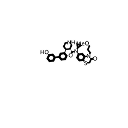 COCCCN1C(=O)CSc2ccc(N(C(=O)[C@H]3CNCC[C@@H]3c3cccc(-c4cccc(O)c4)c3)C3CC3)cc21